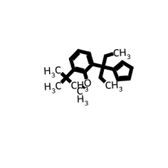 CCC(CC)(C1=CCC=C1)c1cccc(C(C)(C)C)c1OC